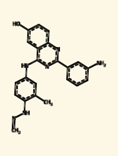 C=NNc1ccc(Nc2nc(-c3cccc(N)c3)nc3ccc(O)cc23)cc1C